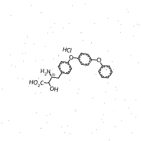 Cl.N[C@@H](Cc1ccc(Oc2ccc(Oc3ccccc3)cc2)cc1)C(O)C(=O)O